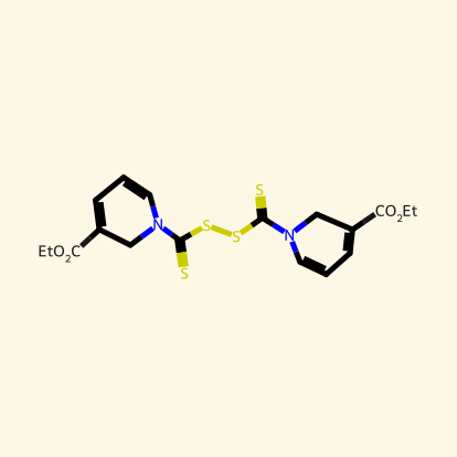 CCOC(=O)C1=CC=CN(C(=S)SSC(=S)N2C=CC=C(C(=O)OCC)C2)C1